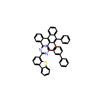 c1ccc(-c2cccc(-c3nc(-c4ccccc4-c4c5ccccc5c(-c5ccccc5)c5ccccc45)nc(-c4cccc5c4sc4ccccc45)n3)c2)cc1